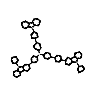 c1ccc(-n2c3ccccc3c3cc(-c4ccc(-c5ccc(N(c6ccc(-c7ccc(-n8c9ccccc9c9ccccc98)cc7)cc6)c6ccc(-c7ccc8c9ccccc9n(-c9ccccc9)c8c7)cc6)cc5)cc4)ccc32)cc1